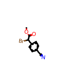 COC(=O)C(Br)c1ccc(C#N)cc1